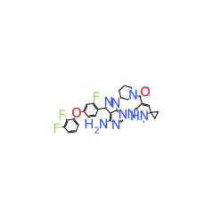 CNC1(/C=C(\C#N)C(=O)N2CCC[C@@H](n3nc(-c4ccc(Oc5cccc(F)c5F)cc4F)c4c(N)ncnc43)C2)CC1